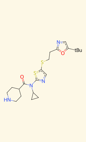 CC(C)(C)c1cnc(CCSc2cnc(N(C(=O)C3CCNCC3)C3CC3)s2)o1